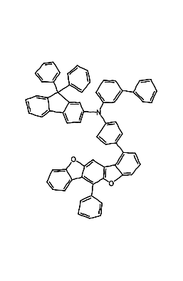 c1ccc(-c2cccc(N(c3ccc(-c4cccc5oc6c(-c7ccccc7)c7c(cc6c45)oc4ccccc47)cc3)c3ccc4c(c3)C(c3ccccc3)(c3ccccc3)c3ccccc3-4)c2)cc1